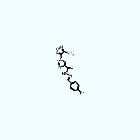 Nc1nonc1-n1cc(C(=O)NN=Cc2ccc(Br)cc2)nn1